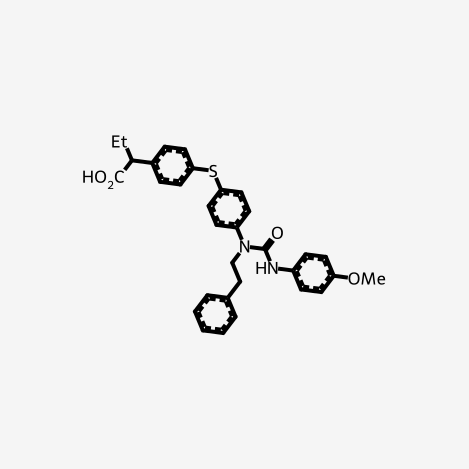 CCC(C(=O)O)c1ccc(Sc2ccc(N(CCc3ccccc3)C(=O)Nc3ccc(OC)cc3)cc2)cc1